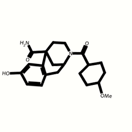 COC1CCC(C(=O)N2CCC3(C(N)=O)CC2Cc2ccc(O)cc23)CC1